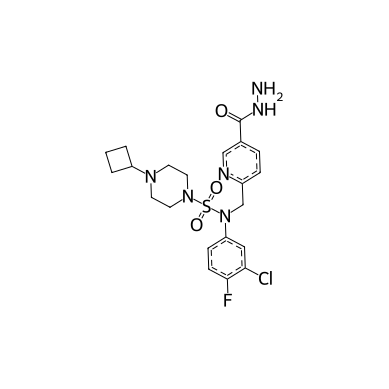 NNC(=O)c1ccc(CN(c2ccc(F)c(Cl)c2)S(=O)(=O)N2CCN(C3CCC3)CC2)nc1